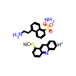 N#CSc1cccc2nc3ccccc3cc12.NCCc1cccc2c(S(=O)(=O)ON)cccc12.[H+]